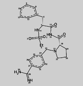 CCS(=O)(=O)N[C@H](Cc1ccccc1)C(=O)NC(=O)[C@@H]1CCCN1Cc1ccc(C(=N)N)cc1